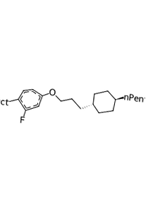 CCCCCCCCc1ccc(OCCC[C@H]2CC[C@H](CCCCC)CC2)cc1F